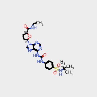 CCNC(=O)[C@@H]1CC[C@H](n2cnc3c(NC(=O)Nc4ccc(S(=O)(=O)NC(C)(C)C)cc4)ncnc32)O1